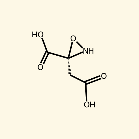 O=C(O)C[C@@]1(C(=O)O)NO1